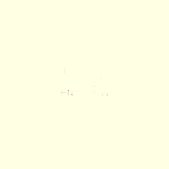 O=S1(=O)CCNC(I)C1